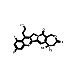 CC[C@@]1(O)CC(=O)OCc2c1cc1n(c2=O)Cc2c-1nc1cc(F)cc(F)c1c2CCC(C)C